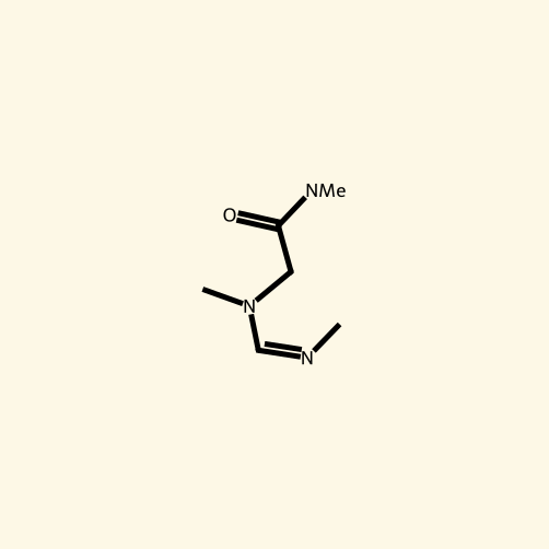 C/N=C\N(C)CC(=O)NC